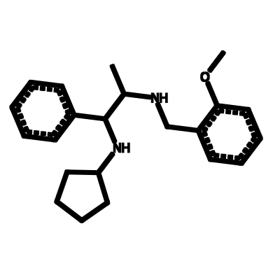 COc1ccccc1CNC(C)C(NC1CCCC1)c1ccccc1